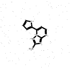 Nc1nc2nccc(-c3cccs3)n2n1